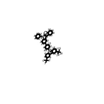 CC(C)(C)c1ccc2c(c1)c1cc(C(C)(C)C)ccc1n2-c1ccc(-c2ccc3c(c2)c2c4ccccc4oc2n3-c2ccccc2)cc1